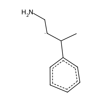 CC([CH]CN)c1ccccc1